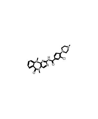 CN1CCN(c2ccc(C(=O)Nc3ncc4c(n3)N(C)c3ccccc3C(=O)N4C)cc2Cl)CC1